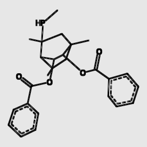 CPC1(C)CC2(C)CC(C)C1C(OC(=O)c1ccccc1)C2OC(=O)c1ccccc1